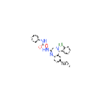 O=C(Nc1ccccc1)ONC1=Nc2ccc([N+](=O)[O-])cc2C(c2ccccc2Cl)=NC1